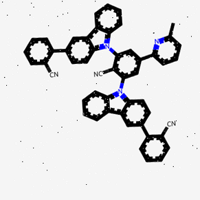 Cc1cccc(-c2cc(-n3c4ccccc4c4cc(-c5ccccc5C#N)ccc43)c(C#N)c(-n3c4ccccc4c4cc(-c5ccccc5C#N)ccc43)c2)n1